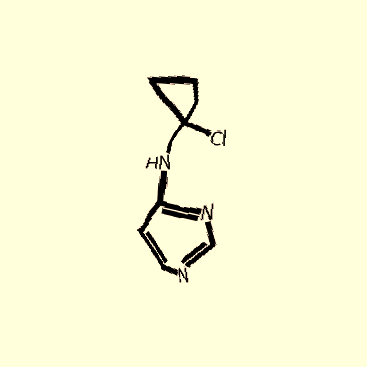 ClC1(Nc2ccncn2)CC1